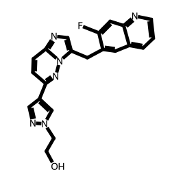 OCCn1cc(-c2ccc3ncc(Cc4cc5cccnc5cc4F)n3n2)cn1